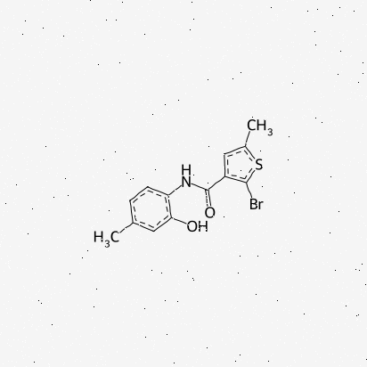 Cc1ccc(NC(=O)c2cc(C)sc2Br)c(O)c1